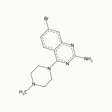 CN1CCN(c2nc(N)nc3cc(Br)ccc23)CC1